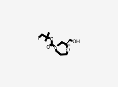 CC(C)(CI)OC(=O)N1CCCO[C@H](CO)C1